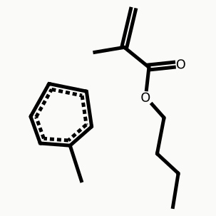 C=C(C)C(=O)OCCCC.Cc1ccccc1